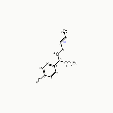 CC/C=C/COC(C(=O)OCC)c1ccc(F)cc1